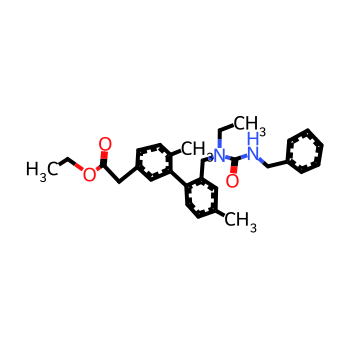 CCOC(=O)Cc1ccc(C)c(-c2ccc(C)cc2CN(CC)C(=O)NCc2ccccc2)c1